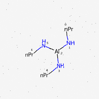 CCC[NH][Al]([NH]CCC)[NH]CCC